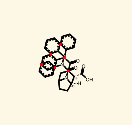 O=C(O)[C@@H]1[C@H]2CCC(CN1C(=O)N(c1ccccc1)c1ccccc1)N2C(=O)N(Cc1ccccc1)c1ccccc1